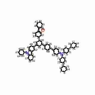 c1ccc(-c2ccc(N(c3ccc(-c4ccccc4)cc3)c3ccc(-c4ccc(-c5cc(-c6ccc7c(c6)oc6ccccc67)cc(-c6ccc7c(c6)c6ccccc6n7-c6ccccc6)c5)cc4)cc3)cc2)cc1